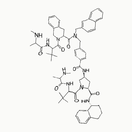 CNC(C)C(=O)NC(C(=O)N1Cc2ccccc2CC1C(=O)N(Cc1ccc(C(=O)N[C@H]2C[C@@H](C(=O)N[C@@H]3CCCc4ccccc43)N(C(=O)C(NC(=O)C(C)NC)C(C)(C)C)C2)cc1)Cc1ccc2ccccc2c1)C(C)(C)C